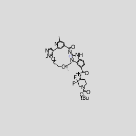 Cc1cc2cc(n1)-c1cnn(C)c1OCCC[C@@H](C)CN1/C(=N/C2=O)Nc2ccc(C(=O)N(C)[C@H]3CCN(C(=O)OC(C)(C)C)CC3(F)F)cc21